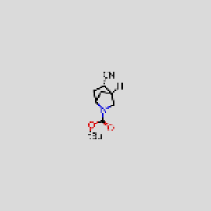 CC(C)(C)OC(=O)N1C[C@@H]2CC1C[C@@H]2C#N